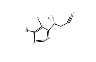 N#CC[C@@H](N)c1cccc(Cl)c1F